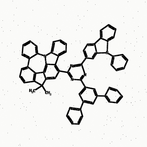 CC1(C)c2cccc3c2-c2c1cc(-c1nc(-c4cc(-c5ccccc5)cc(-c5ccccc5)c4)nc(-c4ccc5c6ccccc6n(-c6ccccc6)c5c4)n1)c1c4ccccc4n(c21)-c1ccccc1-3